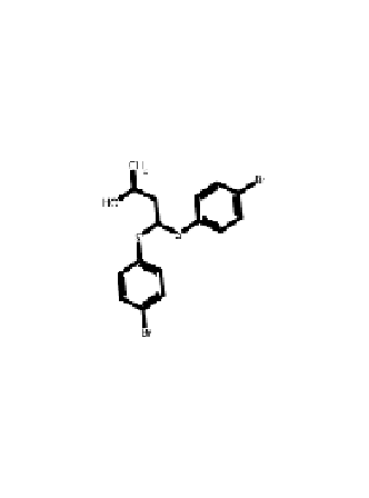 CC(O)CC(Sc1ccc(Br)cc1)Sc1ccc(Br)cc1